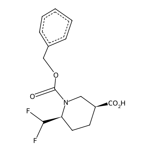 O=C(O)[C@H]1CC[C@@H](C(F)F)N(C(=O)OCc2ccccc2)C1